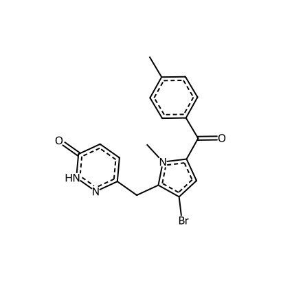 Cc1ccc(C(=O)c2cc(Br)c(Cc3ccc(=O)[nH]n3)n2C)cc1